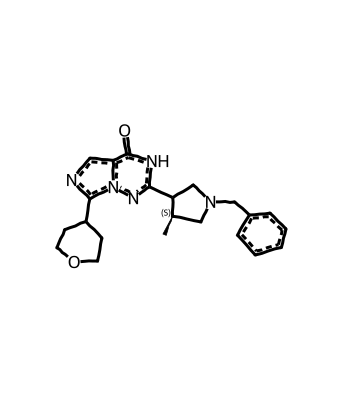 C[C@@H]1CN(Cc2ccccc2)CC1c1nn2c(C3CCOCC3)ncc2c(=O)[nH]1